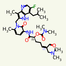 Cc1c(Cn2c(C)ccc(NC(=O)[C@H](CC/C=C(\C=O)CN(C)C)OC(=O)N(C)C)c2=O)[nH]c2c(CC(C)C)c(F)cnc12